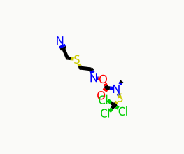 CN(SC(Cl)(Cl)Cl)C(=O)ON=CCSCC#N